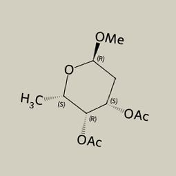 CO[C@H]1C[C@H](OC(C)=O)[C@H](OC(C)=O)[C@H](C)O1